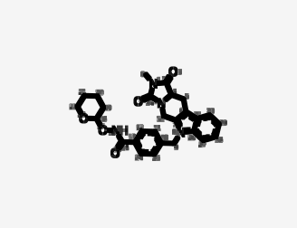 CN1C(=O)C2Cc3c(n(Cc4ccc(C(=O)NOC5CCCCO5)cc4)c4ccccc34)CN2C1=O